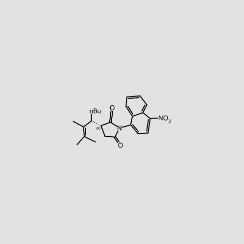 CCCCC(C(C)=C(C)C)[C@H]1CC(=O)N(c2ccc([N+](=O)[O-])c3ccccc23)C1=O